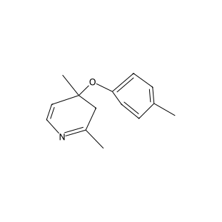 CC1=NC=CC(C)(Oc2ccc(C)cc2)C1